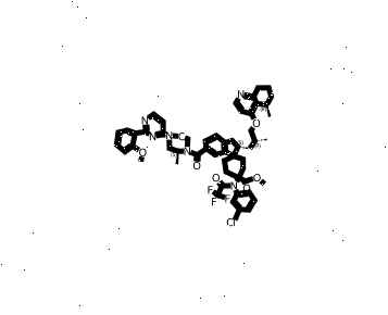 COC(=O)C1(N(C(=O)C(F)(F)F)c2cccc(Cl)c2)CCC2(CC1)c1cc(C(=O)N3CCN(c4ccnc(-c5ccccc5OC)n4)C[C@@H]3C)ccc1C[C@@H]2C[C@@H](C)COc1ccnc2c1[C@H](C)CCC2